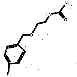 NC(=O)NCCOCc1ccc(F)cc1